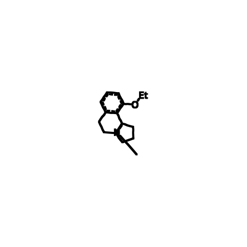 CCOc1cccc2c1C13CCCC1(CC2)CN(C)CC3